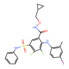 Cc1cc(I)ccc1Nc1c(C(=O)NOCC2CC2)cc(S(=O)(=O)Nc2ccccc2)c(F)c1F